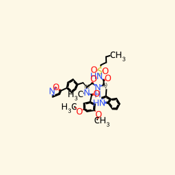 CCCCS(=O)(=O)NC(=O)[C@H](Cc1c[nH]c2ccccc12)NC(=O)[C@H](Cc1ccc(-c2ccno2)cc1)N(C)C(=O)c1cc(OC)cc(OC)c1